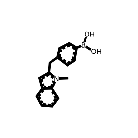 Cn1c(Cc2ccc(B(O)O)cc2)cc2ccccc21